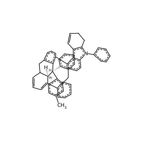 Cc1ccc2c(c1)Cc1ccccc1[C@]21c2c(cccc2-c2cccc3c2c2c(n3-c3ccccc3)CCC=C2)CC2C=CC=C(c3ccccc3)[C@@H]21